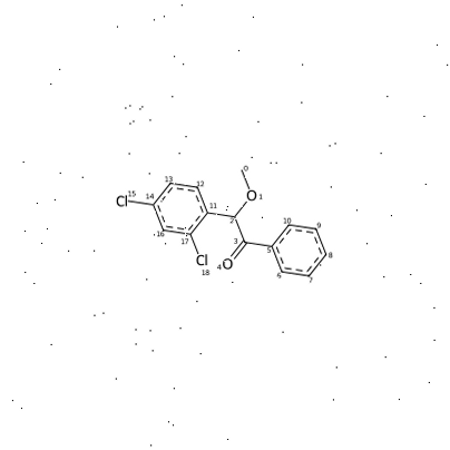 COC(C(=O)c1ccccc1)c1ccc(Cl)cc1Cl